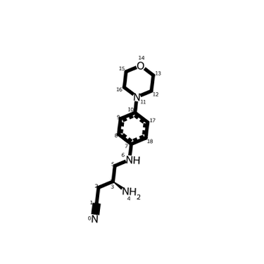 N#CC[C@H](N)CNc1ccc(N2CCOCC2)cc1